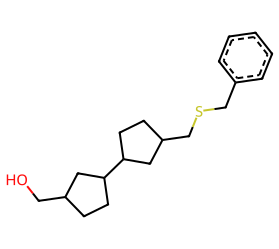 OCC1CCC(C2CCC(CSCc3ccccc3)C2)C1